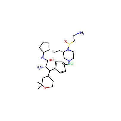 CC1(C)CC(C(c2ccc(Cl)cc2)[C@H](N)C(=O)N[C@H]2CCC[C@@H]2CC[C@H]2CNCCN2[S+]([O-])CCN)CCO1